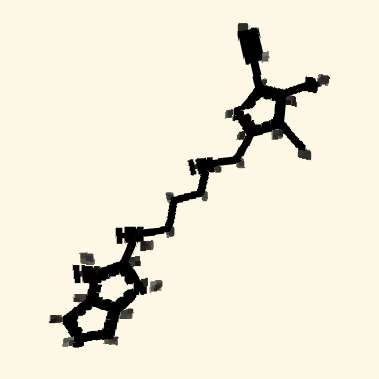 C#Cc1sc(CNCCCNc2nc3cscc3[nH]2)c(C)c1Br